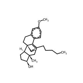 CCCCCC1=C2c3ccc(OC)cc3CC[C@@]2(C=O)[C@@H]2CC[C@H](O)[C@@]2(C)C1